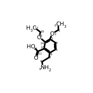 CCOc1ccc(CCN)c(C(=O)O)c1OCC